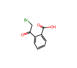 O=C(O)c1ccccc1C(=O)CBr